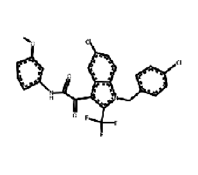 COc1cccc(NC(=O)C(=O)c2c(C(F)(F)F)n(Cc3ccc(Cl)cc3)c3ccc(Cl)cc23)c1